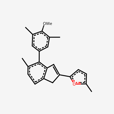 COc1c(C)cc(-c2c(C)ccc3c2C=C(c2ccc(C)o2)C3)cc1C